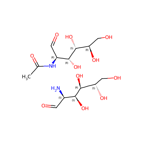 CC(=O)N[C@@H](C=O)[C@@H](O)[C@H](O)[C@H](O)CO.N[C@H](C=O)[C@H](O)[C@@H](O)[C@@H](O)CO